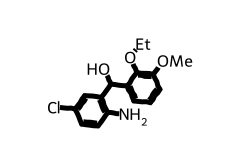 CCOc1c(OC)cccc1C(O)c1cc(Cl)ccc1N